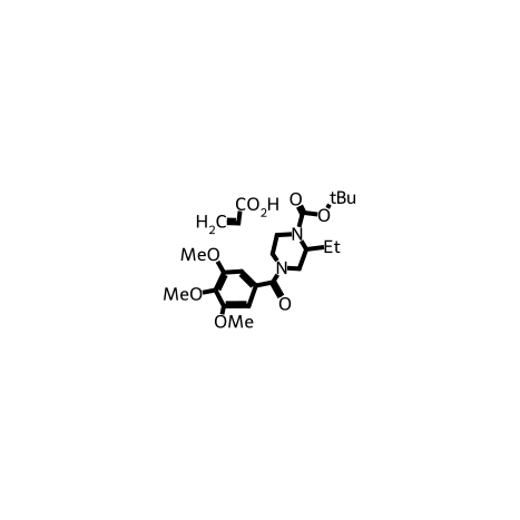 C=CC(=O)O.CCC1CN(C(=O)c2cc(OC)c(OC)c(OC)c2)CCN1C(=O)OC(C)(C)C